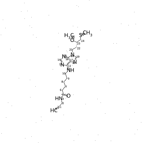 C#CCNC(=O)CCCCCNc1ncnc2c1ncn2CC[C@@H](CSC)OC